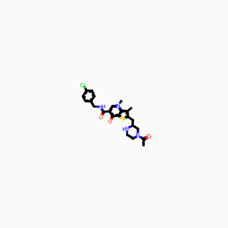 CC(=O)N1CCNC(Cc2sc3c(=O)c(C(=O)NCc4ccc(Cl)cc4)cn(C)c3c2C)C1